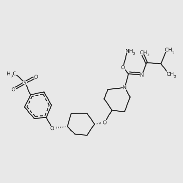 C=C(/N=C(\ON)N1CCC(O[C@H]2CC[C@@H](Oc3ccc(S(C)(=O)=O)cc3)CC2)CC1)C(C)C